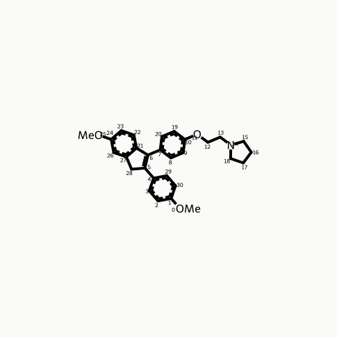 COc1ccc(C2=C(c3ccc(OCCN4CCCC4)cc3)c3ccc(OC)cc3C2)cc1